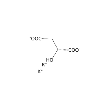 O=C([O-])C[C@@H](O)C(=O)[O-].[K+].[K+]